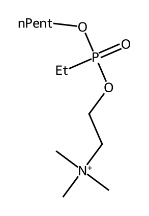 CCCCCOP(=O)(CC)OCC[N+](C)(C)C